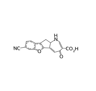 N#Cc1ccc2c3c(oc2c1)C1=CC(=O)C(C(=O)O)=CNC1C3